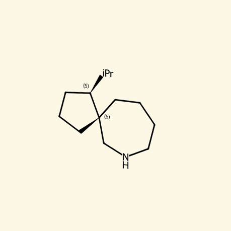 CC(C)[C@@H]1CCC[C@]12CCCCNC2